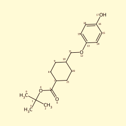 CC(C)(C)OC(=O)C1CCC(COc2ccc(O)cc2)CC1